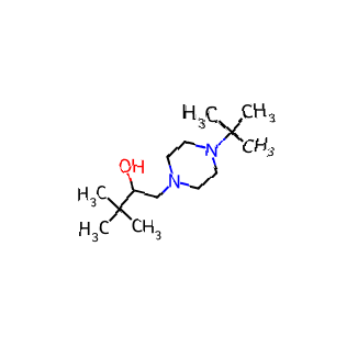 CC(C)(C)C(O)CN1CCN(C(C)(C)C)CC1